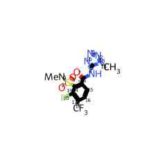 CNS(=O)(=O)c1c(C(=O)Nc2nnnn2C)ccc(C(F)(F)F)c1F